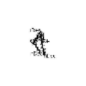 CCCCCCCCCCCCCCCCCC(=O)OCC(O)CO.CCCCCCCCCCCCCCCCCC(O)CCCCCCCCCCCCCCCC